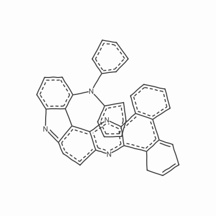 C1=CCc2c(c3ccccc3c3nc4c5c(ccc4nc23)=Nc2cccc(N(c3ccccc3)c3ccccc3)c2-5)=C1